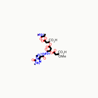 COC(CC(=O)OC(CC(=O)OC(CC(=O)OC(C)C(=O)NI)C(=O)O)C(=O)NNC(=O)c1ncn2c(=O)n(C)nnc12)C(=O)O